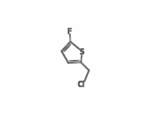 Fc1ccc(CCl)s1